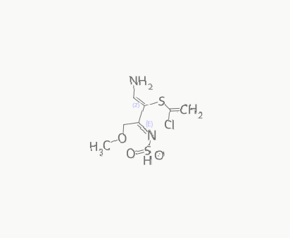 C=C(Cl)SC(=C\N)/C(COC)=N/[SH](=O)=O